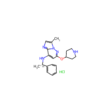 Cc1cnc2c(N[C@@H](C)c3ccccc3)cc(OC3CCNCC3)nn12.Cl